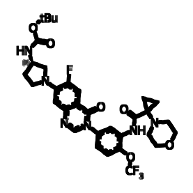 CC(C)(C)OC(=O)N[C@@H]1CCN(c2cc3ncn(-c4ccc(OC(F)(F)F)c(NC(=O)C5(N6CCOCC6)CC5)c4)c(=O)c3cc2F)C1